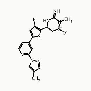 Cc1cnn(-c2cc(-c3cc(F)c(C4C[S+]([O-])N(C)C(=N)N4)s3)ccn2)c1